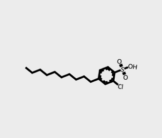 CCCCCCCCCCc1ccc(S(=O)(=O)O)c(Cl)c1